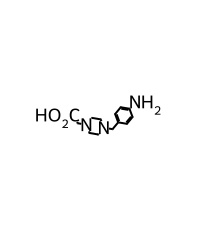 Nc1ccc(CN2CCN(CC(=O)O)CC2)cc1